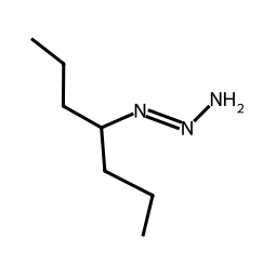 CCCC(CCC)N=NN